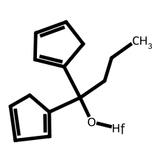 CCCC([O][Hf])(C1=CC=CC1)C1=CC=CC1